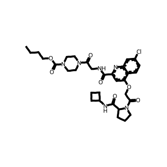 CCCCOC(=O)N1CCN(C(=O)CNC(=O)c2cc(OCC(=O)N3CCCC3C(=O)NC3CCC3)c3ccc(Cl)cc3n2)CC1